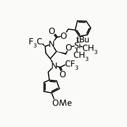 COc1ccc(CN(C(=O)C(F)(F)F)[C@H]2C[C@@H](C(F)(F)F)N(C(=O)OCc3ccccc3)[C@H]2CO[Si](C)(C)C(C)(C)C)cc1